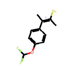 C/C(S)=C(/C)c1ccc(OC(F)F)cc1